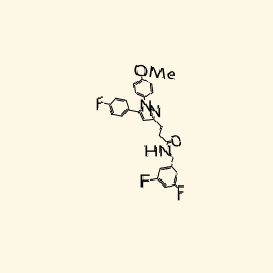 COc1ccc(-n2nc(CCC(=O)NCc3cc(F)cc(F)c3)cc2-c2ccc(F)cc2)cc1